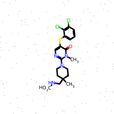 Cn1c(N2CCC(C)(CNC(=O)O)CC2)ncc(Sc2cccc(Cl)c2Cl)c1=O